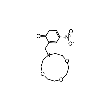 O=C1CC=C([N+](=O)[O-])C=C1CN1CCOCCOCCOCC1